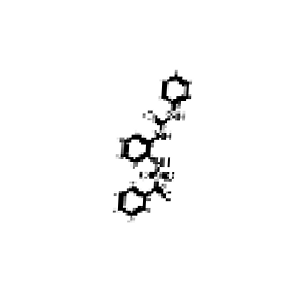 O=C(Nc1ccccc1)Nc1ccccc1NS(=O)(=O)C(=O)c1ccccc1